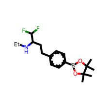 CCNC(CCc1ccc(B2OC(C)(C)C(C)(C)O2)cc1)C(F)F